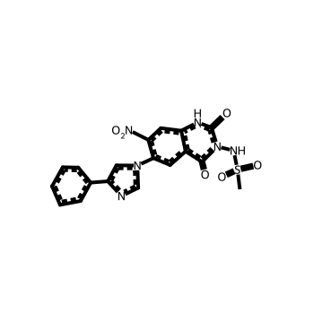 CS(=O)(=O)Nn1c(=O)[nH]c2cc([N+](=O)[O-])c(-n3cnc(-c4ccccc4)c3)cc2c1=O